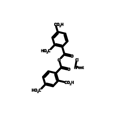 CCCCCCl.O=C(O)c1ccc(C(=O)OC(=O)c2ccc(C(=O)O)cc2C(=O)O)c(C(=O)O)c1